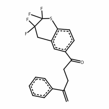 C=C(CCC(=O)c1ccc2c(c1)CC(F)(F)C(F)(F)S2)c1ccccc1